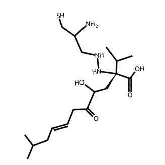 CC(C)C/C=C/CC(=O)C(O)C[C@](NNCC(N)CS)(C(=O)O)C(C)C